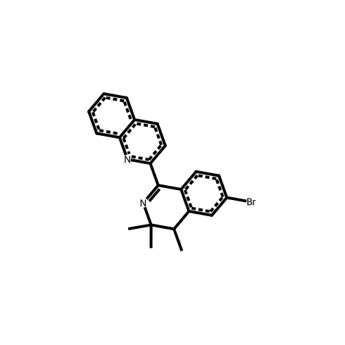 CC1c2cc(Br)ccc2C(c2ccc3ccccc3n2)=NC1(C)C